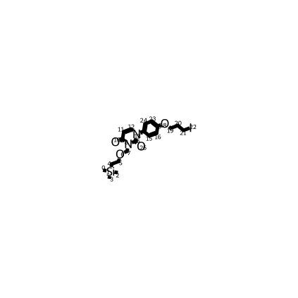 C[Si](C)(C)CCOCn1c(=O)ccn(-c2ccc(OCCCI)cc2)c1=O